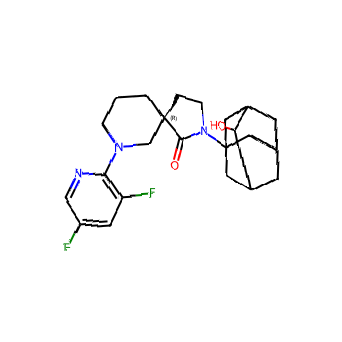 O=C1N(C23CC4CC(C2)C(O)C(C4)C3)CC[C@@]12CCCN(c1ncc(F)cc1F)C2